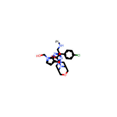 CC(C)NCC(C(=O)N1CC2COCC(C1)N2c1ncnc2c1ccn2CO)c1ccc(Cl)cc1